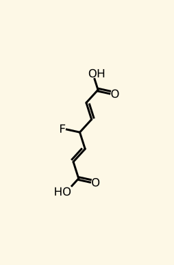 O=C(O)C=CC(F)C=CC(=O)O